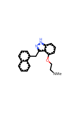 CNCCOc1cccc2[nH]nc(Cc3cccc4ccccc34)c12